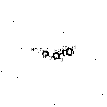 CC(c1ccc(Oc2ccc(C(=O)O)cn2)cc1Cl)C(O)(c1ccnc(Cl)c1)C(F)(F)F